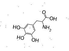 NC(Cc1cc(O)c(O)c(O)c1)C(=O)O